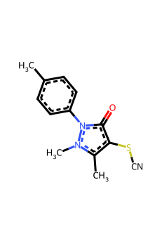 Cc1ccc(-n2c(=O)c(SC#N)c(C)n2C)cc1